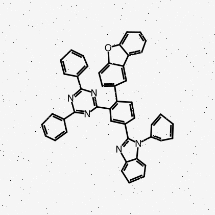 c1ccc(-c2nc(-c3ccccc3)nc(-c3cc(-c4nc5ccccc5n4-c4ccccc4)ccc3-c3ccc4oc5ccccc5c4c3)n2)cc1